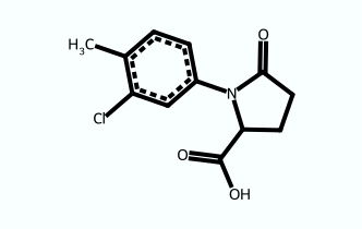 Cc1ccc(N2C(=O)CCC2C(=O)O)cc1Cl